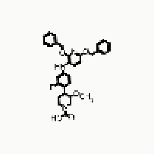 COC1CN(C(=O)O)CCC1c1ccc(Nc2ccc(OCc3ccccc3)nc2OCc2ccccc2)cc1F